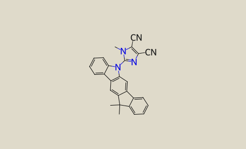 Cn1c(-n2c3ccccc3c3cc4c(cc32)-c2ccccc2C4(C)C)nc(C#N)c1C#N